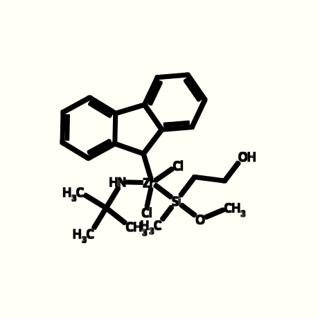 CO[Si](C)(CCO)[Zr]([Cl])([Cl])([NH]C(C)(C)C)[CH]1c2ccccc2-c2ccccc21